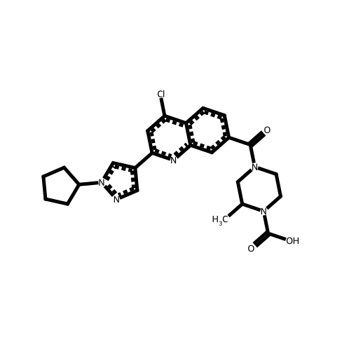 CC1CN(C(=O)c2ccc3c(Cl)cc(-c4cnn(C5CCCC5)c4)nc3c2)CCN1C(=O)O